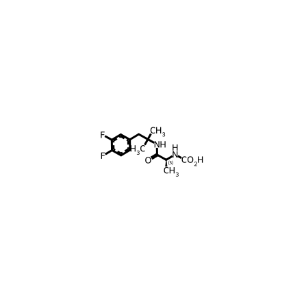 C[C@H](NC(=O)O)C(=O)NC(C)(C)Cc1ccc(F)c(F)c1